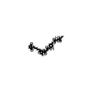 CCNC(=O)CNC(=O)OCc1ccc(NC(=O)CNC(=O)C(NC(=O)CCCCCN2C(=O)C=CC2=O)C(C)C)cc1